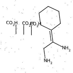 CC(=O)O.CC(=O)O.CC(=O)O.NCC(N)=C1CCCCC1